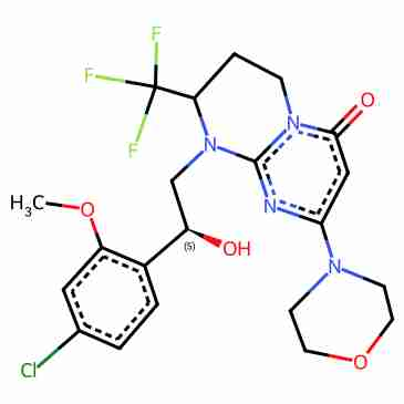 COc1cc(Cl)ccc1[C@H](O)CN1c2nc(N3CCOCC3)cc(=O)n2CCC1C(F)(F)F